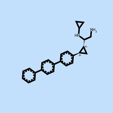 NCC(NC1CC1)[C@@H]1C[C@H]1c1ccc(-c2ccc(-c3ccccc3)cc2)cc1